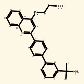 CC(C)(N)c1cccc(-c2ccc(-c3cc(NCCC(=O)O)c4ccccc4n3)cc2)c1